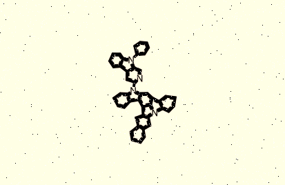 c1ccc(-n2c3ccccc3c3cc(-n4c5ccccc5c5c6c7cc8ccccc8cc7n7c8ccccc8c(cc54)c67)ncc32)cc1